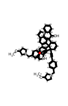 COC1CCN(Cc2ccc(C#CC3(C#Cc4ccc(CN5CCC(OC)C5)cc4)C=CC=C(C(=O)C(O)c4ccccc4)C3(c3ccc4cc[nH]c4c3)c3ccc4cc[nH]c4c3)cc2)C1